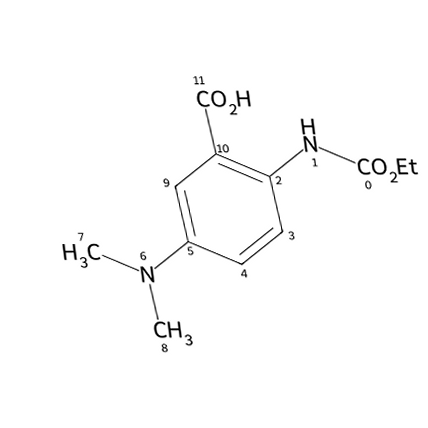 CCOC(=O)Nc1ccc(N(C)C)cc1C(=O)O